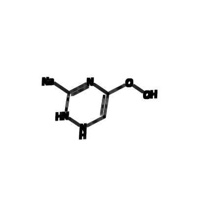 OOC1=CNN[C]([Na])=N1